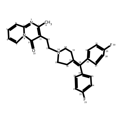 Cc1nc2ccccn2c(=O)c1CCN1CCC(=C(c2ccc(F)cc2)c2ccc(F)cc2)CC1